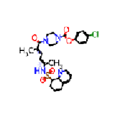 C/C(=C\C=C(/C)C(=O)N1CCN(C(=O)Oc2ccc(Cl)cc2)CC1)NS(=O)(=O)C1CC=Cc2cccnc21